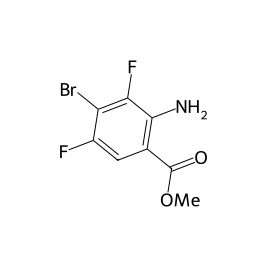 COC(=O)c1cc(F)c(Br)c(F)c1N